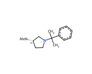 CN[C@H]1CCN(C(C)(C)c2ccccc2)C1